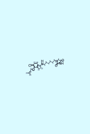 O=C1CN(CCCCCCNC2CCc3c2ccc(Cl)c3OCC2CC2)C(=O)N1